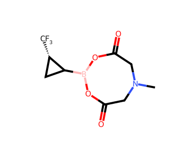 CN1CC(=O)OB(C2C[C@@H]2C(F)(F)F)OC(=O)C1